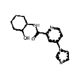 O=C(NC1CCCCC1O)c1cc(-n2ccnc2)ccn1